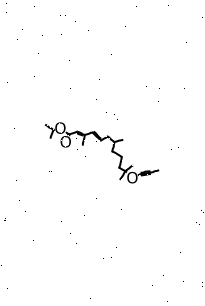 CC#COC(C)(C)CCCC(C)C/C=C/C(C)=C/C(=O)OC(C)C